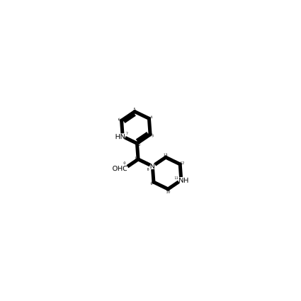 O=CC(C1=CCC=CN1)N1CCNCC1